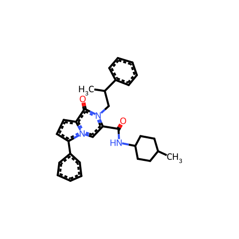 CC1CCC(NC(=O)c2cn3c(-c4ccccc4)ccc3c(=O)n2CC(C)c2ccccc2)CC1